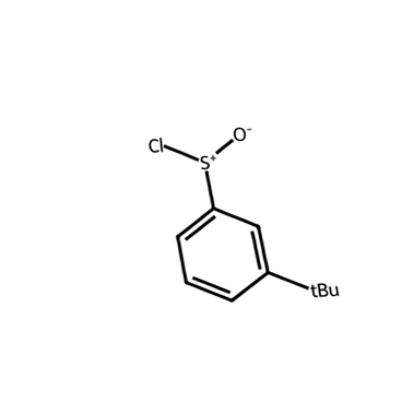 CC(C)(C)c1cccc([S+]([O-])Cl)c1